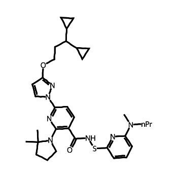 CCCN(C)c1cccc(SNC(=O)c2ccc(-n3ccc(OCCC(C4CC4)C4CC4)n3)nc2N2CCCC2(C)C)n1